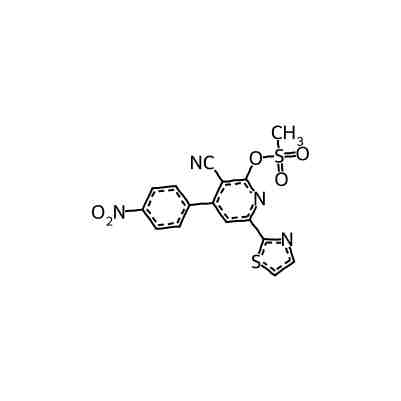 CS(=O)(=O)Oc1nc(-c2nccs2)cc(-c2ccc([N+](=O)[O-])cc2)c1C#N